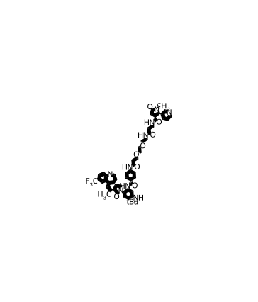 C/C(=C/C1=CCC=Nc2ccc(C(F)(F)F)cc21)[C@H]1CCN([C@H]2CC[C@@H](NC(C)(C)C)C[C@H]2NC(=O)[C@H]2CC[C@@H](NC(=O)CCOCCOCCNC(=O)CCNC(=O)[C@H]3CC(=O)N(C)[C@@H]3c3cccnc3)CC2)C1=O